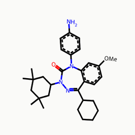 COc1ccc2c(c1)N(c1ccc(N)cc1)C(=O)N(C1CC(C)(C)CC(C)(C)C1)N=C2C1CCCCC1